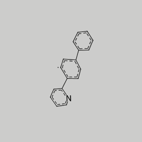 [c]1cc(-c2ccccc2)ccc1-c1ccccn1